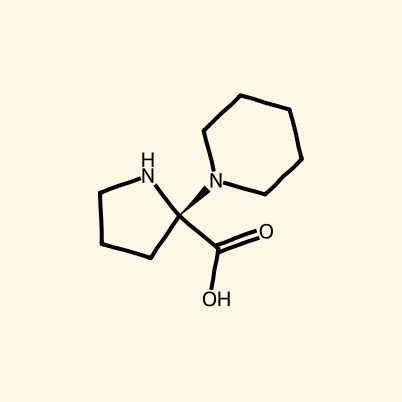 O=C(O)[C@]1(N2CCCCC2)CCCN1